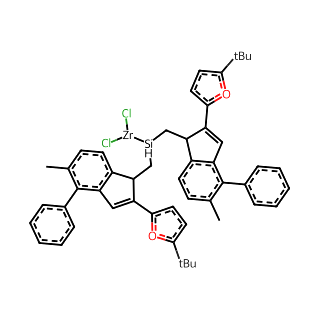 Cc1ccc2c(c1-c1ccccc1)C=C(c1ccc(C(C)(C)C)o1)C2C[SiH](CC1C(c2ccc(C(C)(C)C)o2)=Cc2c1ccc(C)c2-c1ccccc1)[Zr]([Cl])[Cl]